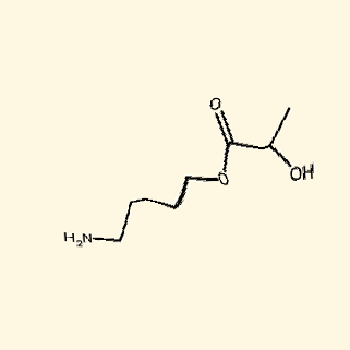 CC(O)C(=O)OCCCCN